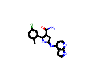 Cc1ccc(Cl)cc1C1=C(C(N)=O)CC(=Nc2ccnc3[nH]ccc23)N1